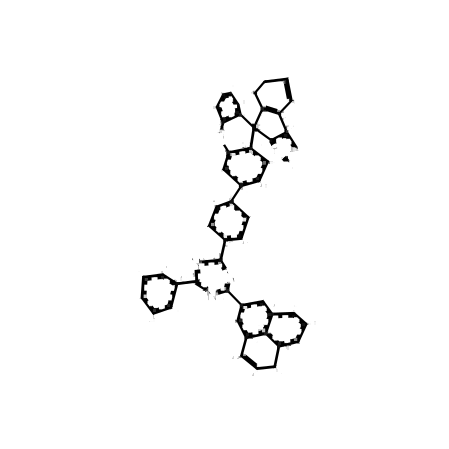 C1=CC2=C(CC1)C1(c3ccccc3Oc3cc(-c4ccc(-c5nc(-c6ccccc6)nc(-c6cc7c8c(cccc8c6)CC=C7)n5)cc4)ccc31)c1ccccc12